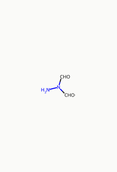 NN([C]=O)C=O